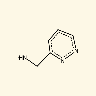 [NH]Cc1cccnn1